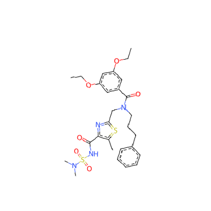 CCOc1cc(OCC)cc(C(=O)N(CCCc2ccccc2)Cc2nc(C(=O)NS(=O)(=O)N(C)C)c(C)s2)c1